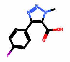 Cn1nnc(-c2ccc(I)cc2)c1C(=O)O